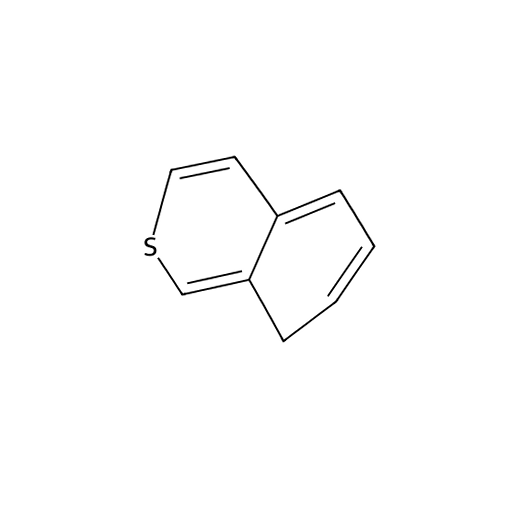 C1=CCC2=CSC=CC2=C1